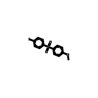 COc1ccc(S(=O)(=O)c2ccc(I)cc2)cc1